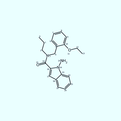 CCCN(Cc1ccccc1OCC)C(=O)c1cc2ccccc2n1N